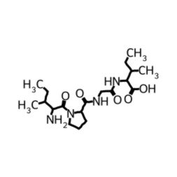 CCC(C)C(N)C(=O)N1CCCC1C(=O)NCC(=O)NC(C(=O)O)C(C)CC